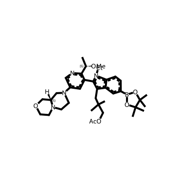 CCn1c(-c2cc(N3CCN4CCOC[C@@H]4C3)cnc2[C@H](C)OC)c(CC(C)(C)COC(C)=O)c2cc(B3OC(C)(C)C(C)(C)O3)ccc21